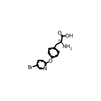 N[C@@H](Cc1ccc(Oc2ccc(Br)cn2)cc1)C(=O)O